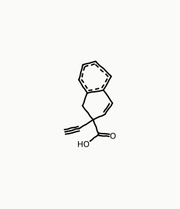 C#CC1(C(=O)O)C=Cc2ccccc2C1